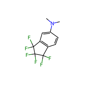 CN(C)c1ccc2c(c1)C(F)(F)C(F)(F)C2(F)F